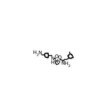 Cc1cccc(CC[C@@H](N)C(=O)N2CCC[C@H]2C(=O)NCc2ccc(CN)cc2)c1